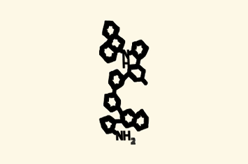 CC1C=C(c2cccc(-c3cccc(-c4cc5ccccc5cc4-c4ccccc4N)c3)c2)C=C(c2ccccc2Nc2cc3ccccc3c3ccccc23)C1